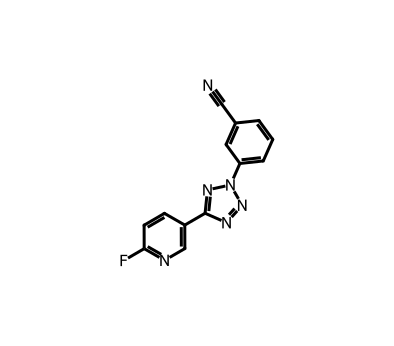 N#Cc1cccc(-n2nnc(-c3ccc(F)nc3)n2)c1